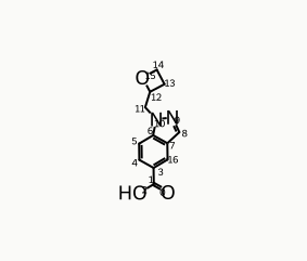 O=C(O)c1ccc2c(cnn2CC2CCO2)c1